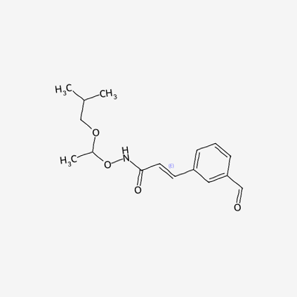 CC(C)COC(C)ONC(=O)/C=C/c1cccc(C=O)c1